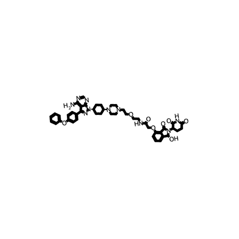 Nc1ncnc2c1c(-c1ccc(Oc3ccccc3)cc1)nn2[C@H]1CC[C@H](N2CCN(CCOCCNC(=O)COc3cccc4c3C(=O)N(C3CCC(=O)NC3=O)C4O)CC2)CC1